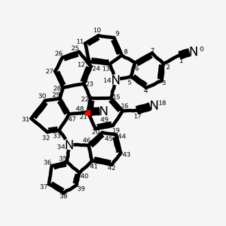 N#Cc1ccc2c(c1)c1ccccc1n2-c1c(C#N)cccc1-c1ccccc1-c1cccc(-n2c3ccccc3c3ccccc32)c1C#N